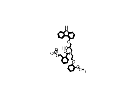 COc1ccccc1OCCN(CC(O)COc1cccc2[nH]c3ccccc3c12)C(=O)c1ccccc1CO[N+](=O)[O-]